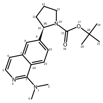 CN(C)c1nccc2cc([C@H]3CCCN3C(=O)OC(C)(C)C)ccc12